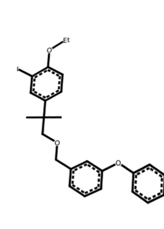 CCOc1ccc(C(C)(C)COCc2cccc(Oc3ccccc3)c2)cc1I